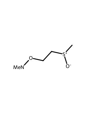 [CH2]NOCC[S+](C)[O-]